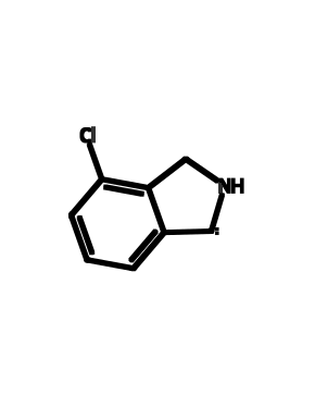 Clc1cccc2c1CN[C]2